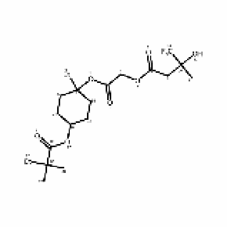 CCC1(OC(=O)COC(=O)CC(C)(O)C(F)(F)F)CCC(OC(=O)C(C)(C)CC)CC1